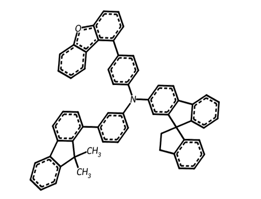 CC1(C)c2ccccc2-c2cccc(-c3cccc(N(c4ccc(-c5cccc6oc7ccccc7c56)cc4)c4ccc5c(c4)C4(CCc6ccccc64)c4ccccc4-5)c3)c21